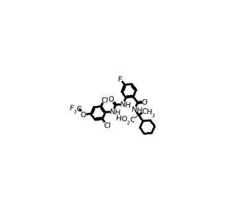 C[C@@](NC(=O)c1ccc(F)cc1NC(=O)Nc1c(Cl)cc(OC(F)(F)F)cc1Cl)(C(=O)O)C1CCCCC1